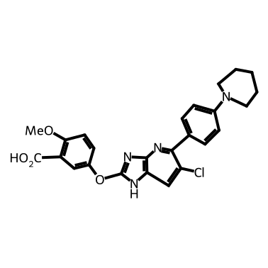 COc1ccc(Oc2nc3nc(-c4ccc(N5CCCCC5)cc4)c(Cl)cc3[nH]2)cc1C(=O)O